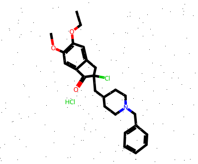 CCOc1cc2c(cc1OC)C(=O)C(Cl)(CC1CCN(Cc3ccccc3)CC1)C2.Cl